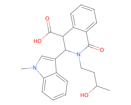 CC(O)CCN1C(=O)c2ccccc2C(C(=O)O)C1c1cn(C)c2ccccc12